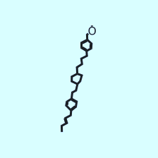 CCC=CCc1ccc(CCC2CCC(CCCCc3ccc(COC)cc3)CC2)cc1